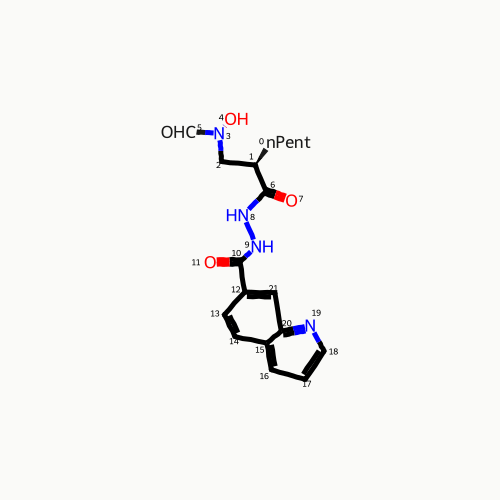 CCCCC[C@H](CN(O)C=O)C(=O)NNC(=O)c1ccc2cccnc2c1